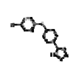 Clc1ccc(Oc2ccc(-c3nnn[nH]3)cc2)nc1